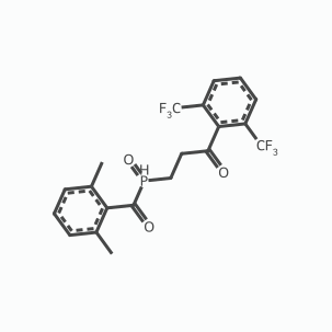 Cc1cccc(C)c1C(=O)[PH](=O)CCC(=O)c1c(C(F)(F)F)cccc1C(F)(F)F